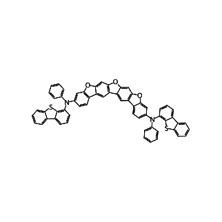 c1ccc(N(c2ccc3c(c2)oc2cc4oc5cc6oc7cc(N(c8ccccc8)c8cccc9c8sc8ccccc89)ccc7c6cc5c4cc23)c2cccc3c2sc2ccccc23)cc1